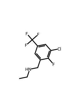 CCNCc1cc(C(F)(F)F)cc(Cl)c1F